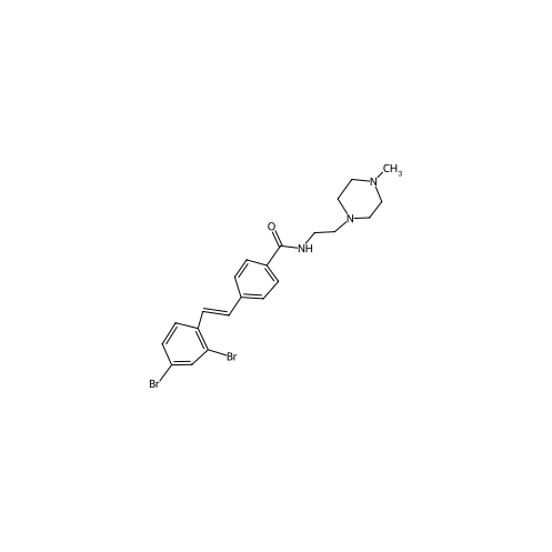 CN1CCN(CCNC(=O)c2ccc(/C=C/c3ccc(Br)cc3Br)cc2)CC1